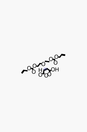 C=CCOC(=O)OCCOCCOC(=O)OCC=C.O=C(O)/C=C\C(=O)O